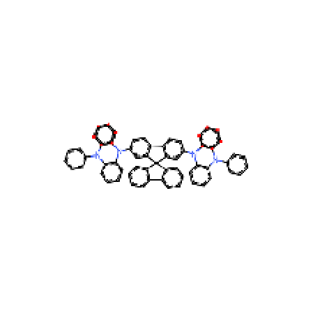 c1ccc(N(c2ccccc2)c2ccccc2N(c2ccccc2)c2ccc3c(c2)C2(c4ccccc4-c4ccccc42)c2cc(N(c4ccccc4)c4ccccc4N(c4ccccc4)c4ccccc4)ccc2-3)cc1